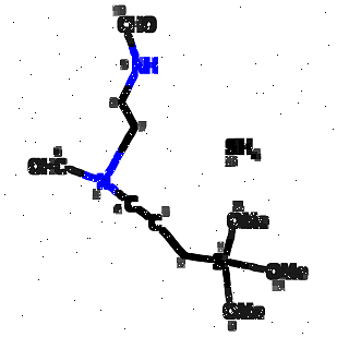 CO[Si](CCCN(C=O)CCNC=O)(OC)OC.[SiH4]